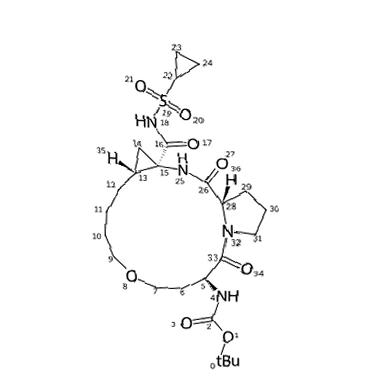 CC(C)(C)OC(=O)N[C@H]1CCOCCCC[C@@H]2C[C@@]2(C(=O)NS(=O)(=O)C2CC2)NC(=O)[C@@H]2CCCN2C1=O